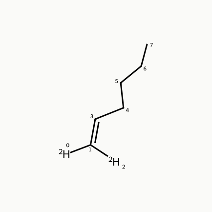 [2H]C([2H])=CCCCC